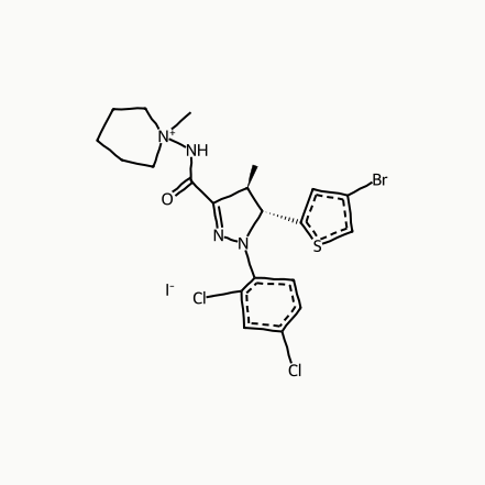 C[C@@H]1C(C(=O)N[N+]2(C)CCCCC2)=NN(c2ccc(Cl)cc2Cl)[C@H]1c1cc(Br)cs1.[I-]